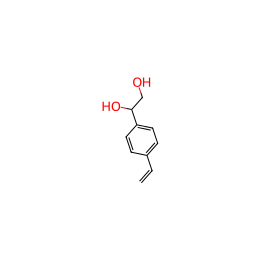 C=Cc1ccc(C(O)CO)cc1